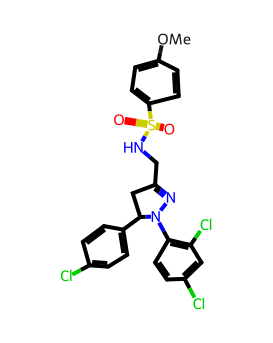 COc1ccc(S(=O)(=O)NCC2=NN(c3ccc(Cl)cc3Cl)C(c3ccc(Cl)cc3)C2)cc1